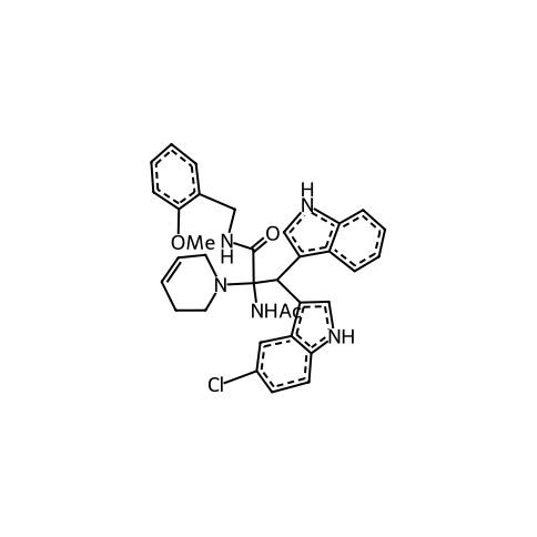 COc1ccccc1CNC(=O)C(NC(C)=O)(C(c1c[nH]c2ccccc12)c1c[nH]c2ccc(Cl)cc12)N1CC=CCC1